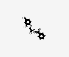 O=C(COc1ccc(Cl)cc1Cl)ONC(=O)c1ccccc1